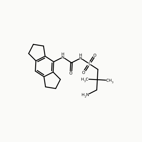 CC(C)(CN)CS(=O)(=O)NC(=O)Nc1c2c(cc3c1CCC3)CCC2